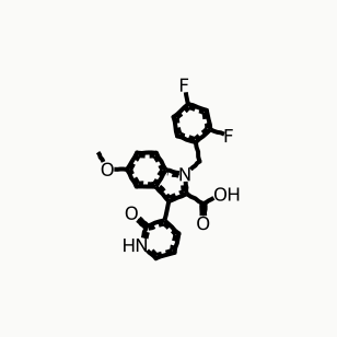 COc1ccc2c(c1)c(-c1ccc[nH]c1=O)c(C(=O)O)n2Cc1ccc(F)cc1F